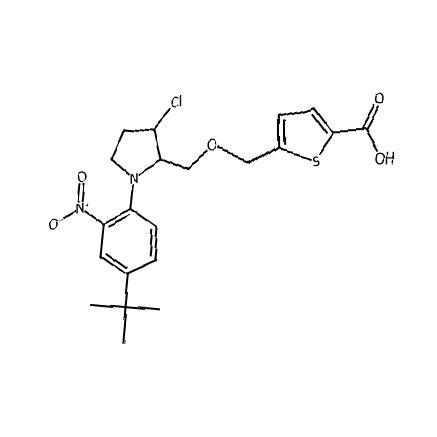 CC(C)(C)c1ccc(N2CCC(Cl)C2COCc2ccc(C(=O)O)s2)c([N+](=O)[O-])c1